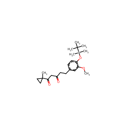 COc1cc(CCC(=O)CC(=O)C2(C)CC2)ccc1O[Si](C)(C)C(C)(C)C